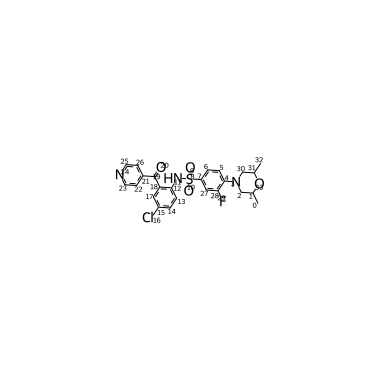 CC1CN(c2ccc(S(=O)(=O)Nc3ccc(Cl)cc3C(=O)c3ccncc3)cc2F)CC(C)O1